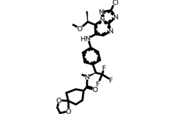 CO[C@@H](C)c1c(Nc2ccc([C@H](N(C)C(=O)C3CCC4(CC3)OCCO4)C(F)(F)F)cc2)cnc2nc(Cl)nn12